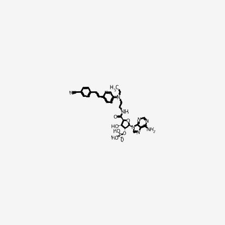 CCN(CCNC(=O)[C@H]1O[C@@H](n2cnc3c(N)ncnc32)[C@H](OP(=O)(O)O)[C@@H]1O)c1ccc(/C=C/c2ccc(C#N)cc2)cc1